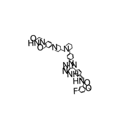 COc1ccc(F)cc1C(=O)NCc1ccc(-c2nn(-c3ccc(C4CCCCN4CC4CCN(c5ccc(N6CCC(=O)NC6=O)c(C)c5)CC4)cc3)c3ncnc(N)c23)cc1